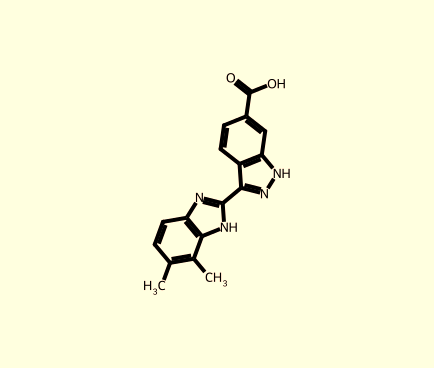 Cc1ccc2nc(-c3n[nH]c4cc(C(=O)O)ccc34)[nH]c2c1C